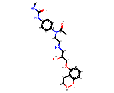 CNC(=O)Nc1ccc(N(CCNCC(O)COc2cccc3c2CCOO3)C(C)=O)cc1